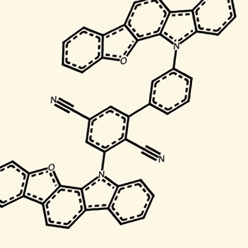 N#Cc1cc(-c2cccc(-n3c4ccccc4c4ccc5c6ccccc6oc5c43)c2)c(C#N)c(-n2c3ccccc3c3ccc4c5ccccc5oc4c32)c1